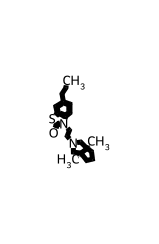 CCCc1ccc2c(c1)sc(=O)n2CCN1C[C@]2(C)CCC[C@]2(C)C1